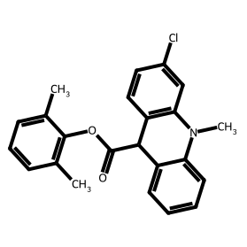 Cc1cccc(C)c1OC(=O)C1c2ccccc2N(C)c2cc(Cl)ccc21